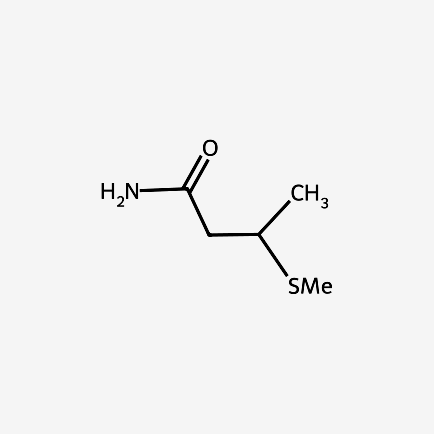 CSC(C)CC(N)=O